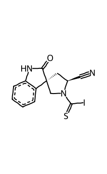 N#C[C@@H]1C[C@@]2(CN1C(=S)I)C(=O)Nc1ccccc12